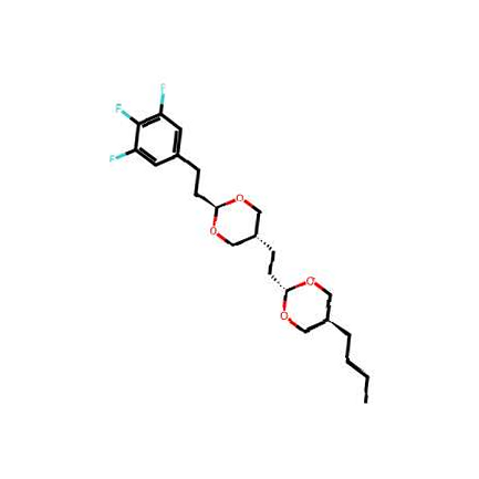 CCCC[C@H]1CO[C@H](CC[C@H]2CO[C@H](CCc3cc(F)c(F)c(F)c3)OC2)OC1